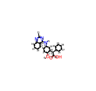 COc1ccc(N(C)c2nc(C)nc3ccccc23)cc1C(C(=O)O)c1ccccc1